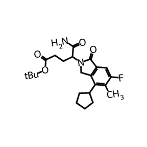 Cc1c(F)cc2c(c1C1CCCC1)CN(C(CCC(=O)OC(C)(C)C)C(N)=O)C2=O